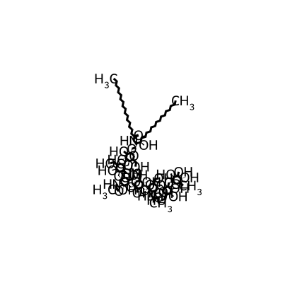 CCCCCCCCCCCCC/C=C/[C@@H](O)[C@H](CO[C@@H]1OC(CO)[C@@H](O[C@@H]2OC(CO)[C@H](O)[C@H](O[C@@H]3OC(CO)[C@@H](O[C@@H]4OC(CO)[C@H](O)[C@H](O[C@@H]5OC(CO)[C@@H](O[C@@H]6OC(CO)[C@H](O)[C@H](O)C6O[C@H]6OC(C)[C@@H](O)C(O)[C@@H]6O)[C@H](O)C5NC(C)=O)C4O)[C@H](O)C3NC(C)=O)C2O)[C@H](O)C1O)NC(=O)CCCCCCCCCCCCCCCCC